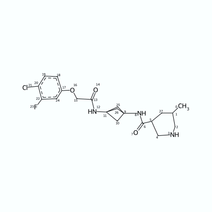 CC1CNCC(C(=O)NC23CC(NC(=O)COc4ccc(Cl)c(F)c4)(C2)C3)C1